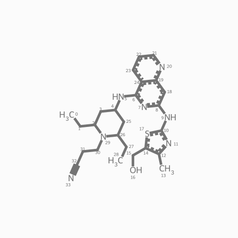 CCC1CC(Nc2nc(Nc3nc(C)c(CO)s3)cc3ncccc23)CC(CC)N1CCC#N